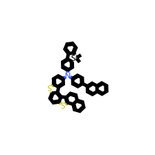 C[Si]1(C)c2ccccc2-c2ccc(N(c3ccc(-c4ccc5ccccc5c4)cc3)c3ccc4sc5ccc6sc7c8ccccc8ccc7c6c5c4c3)cc21